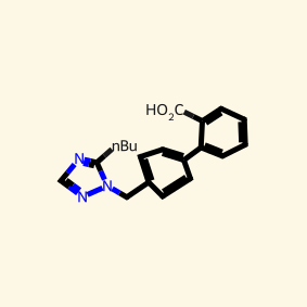 CCCCc1ncnn1Cc1ccc(-c2ccccc2C(=O)O)cc1